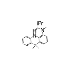 C=C(C(C)C)N(C)c1cccc2c1Nc1ccccc1C2(C)C